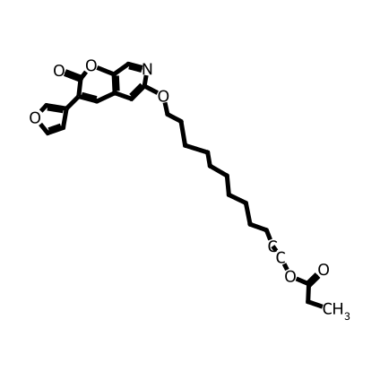 CCC(=O)OCCCCCCCCCCCCOc1cc2cc(-c3ccoc3)c(=O)oc2cn1